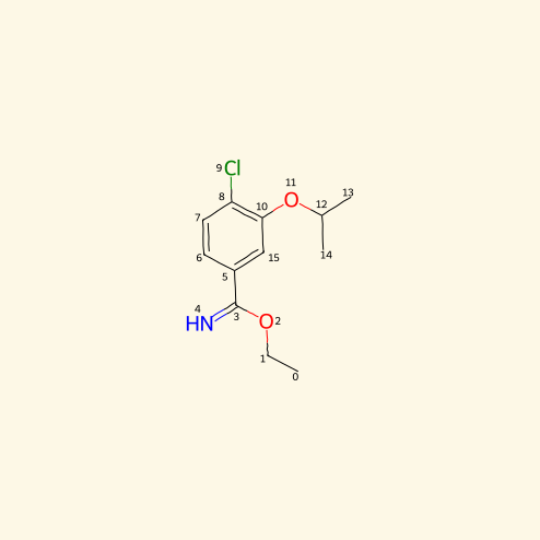 CCOC(=N)c1ccc(Cl)c(OC(C)C)c1